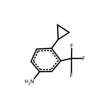 Nc1ccc(C2CC2)c(C(F)(F)F)c1